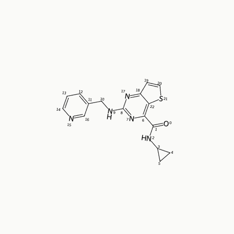 O=C(NC1CC1)c1nc(NCc2cccnc2)nc2ccsc12